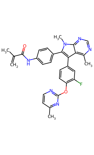 C=C(C)C(=O)Nc1ccc(-c2c(-c3ccc(Oc4nccc(C)n4)c(F)c3)c3c(C)ncnc3n2C)cc1